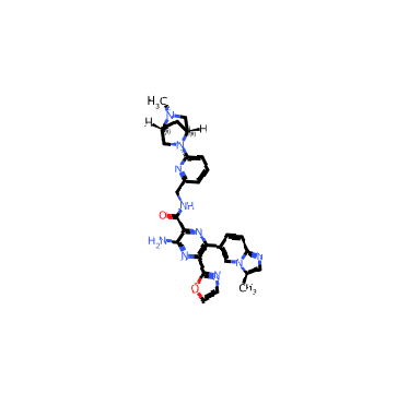 Cc1cnc2ccc(-c3nc(C(=O)NCc4cccc(N5C[C@H]6C[C@@H]5CN6C)n4)c(N)nc3-c3ncco3)cn12